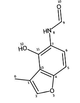 Cc1coc2ccc(NC=O)c(O)c12